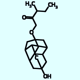 CCC(C)C(=O)COC12CC3C4CC5(O)CC3C(C1)C(C5)C4C2